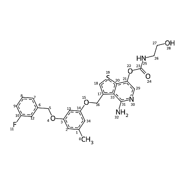 Cc1cc(OCc2cccc(F)c2)cc(OCc2csc3c(OC(=O)NCCO)cnc(N)c23)c1